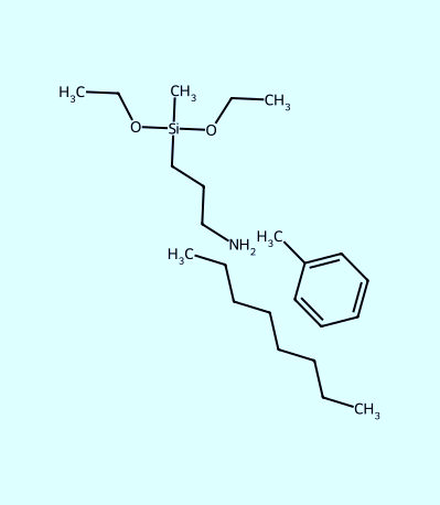 CCCCCCCC.CCO[Si](C)(CCCN)OCC.Cc1ccccc1